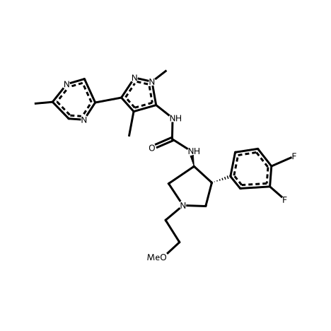 COCCN1C[C@@H](NC(=O)Nc2c(C)c(-c3cnc(C)cn3)nn2C)[C@H](c2ccc(F)c(F)c2)C1